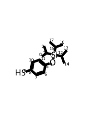 CC(C)[Si](Oc1ccc(S)cc1)(C(C)C)C(C)C